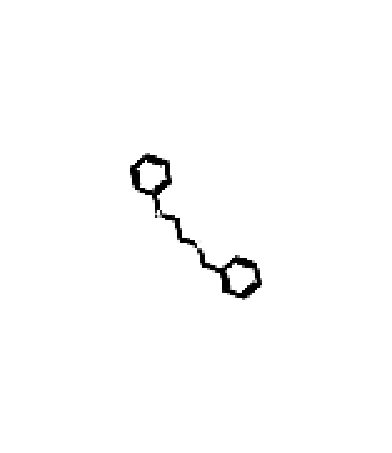 c1ccc(COCCOc2ccccc2)cc1